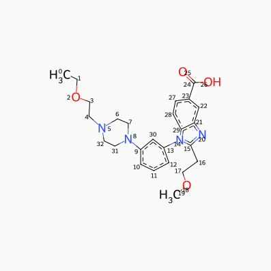 CCOCCN1CCN(c2cccc(-n3c(CCOC)nc4cc(C(=O)O)ccc43)c2)CC1